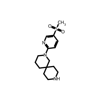 CS(=O)(=O)c1ccc(N2CCCC3(CCNCC3)C2)nc1